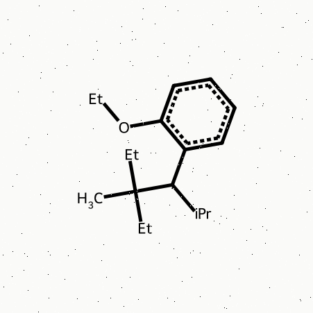 CCOc1ccccc1[C](C(C)C)C(C)(CC)CC